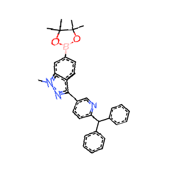 Cn1nc(-c2ccc(C(c3ccccc3)c3ccccc3)nc2)c2ccc(B3OC(C)(C)C(C)(C)O3)cc21